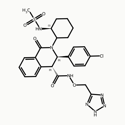 CS(=O)(=O)N[C@H]1CCCCC1N1C(=O)c2ccccc2[C@@H](C(=O)NOCc2nn[nH]n2)[C@@H]1c1ccc(Cl)cc1